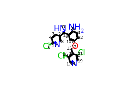 N=C(c1ccc(Cl)nc1)c1cc(OCc2c(Cl)cncc2Cl)ccc1N